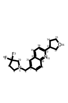 FC1(F)CCN(Cc2ccc3nc(C4CCOC4)ccc3c2)C1